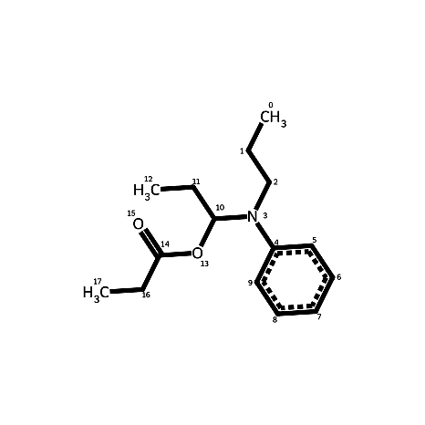 CCCN(c1ccccc1)C(CC)OC(=O)CC